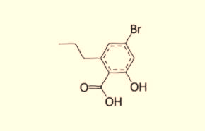 CCCc1cc(Br)cc(O)c1C(=O)O